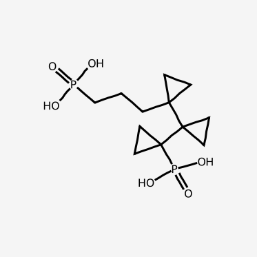 O=P(O)(O)CCCC1(C2(C3(P(=O)(O)O)CC3)CC2)CC1